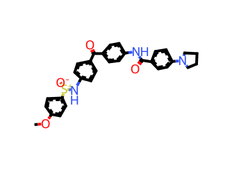 COc1ccc([S+]([O-])Nc2ccc(C(=O)c3ccc(NC(=O)c4ccc(N5CCCC5)cc4)cc3)cc2)cc1